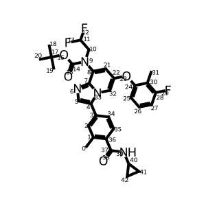 Cc1cc(-c2cnc3c(N(CC(F)F)C(=O)OC(C)(C)C)cc(Oc4cccc(F)c4C)cn23)ccc1C(=O)NC1CC1